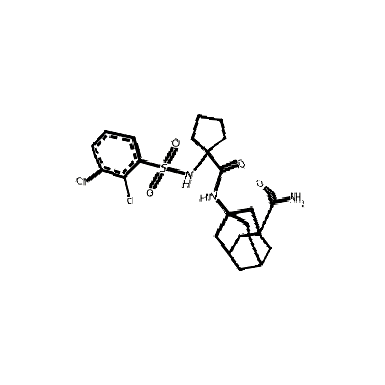 NC(=O)C12CC3CC(CC(NC(=O)C4(NS(=O)(=O)c5cccc(Cl)c5Cl)CCCC4)(C3)C1)C2